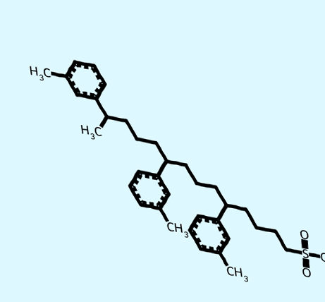 Cc1cccc(C(C)CCCC(CCCC(CCCCS(=O)(=O)O)c2cccc(C)c2)c2cccc(C)c2)c1